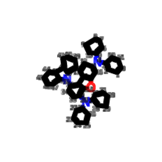 c1ccc(N(c2ccccc2)c2ccc3c(c2)oc2c(N(c4ccccc4)c4ccccc4)ccc(-n4c5ccccc5c5ccccc54)c23)cc1